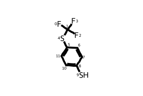 FC(F)(F)Sc1ccc(S)cc1